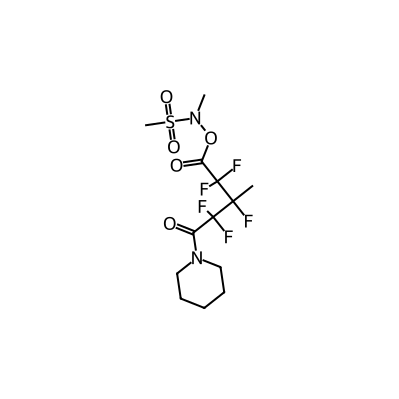 CN(OC(=O)C(F)(F)C(C)(F)C(F)(F)C(=O)N1CCCCC1)S(C)(=O)=O